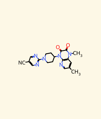 Cc1cnc2c(c1)n(C)c(=O)c(=O)n2C1CCN(c2ncc(C#N)cn2)CC1